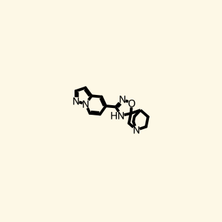 c1cc2cc(C3=NOC4(CN5CCC4CC5)N3)ccn2n1